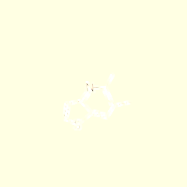 Cc1cc2sccc2nc1C